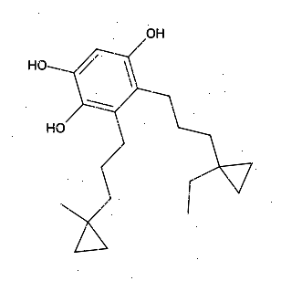 CCC1(CCCc2c(O)cc(O)c(O)c2CCCC2(C)CC2)CC1